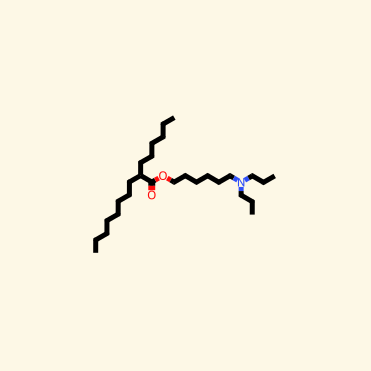 CCCCCCCCC(CCCCCC)C(=O)OCCCCCCN(CCC)CCC